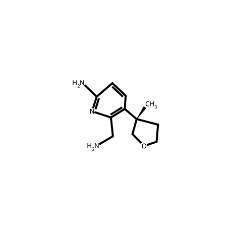 C[C@@]1(c2ccc(N)nc2CN)CCOC1